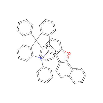 c1ccc(N(c2cccc3c2C2(c4ccccc4-c4ccccc42)c2ccccc2-3)c2cccc3oc4c5ccccc5ccc4c23)cc1